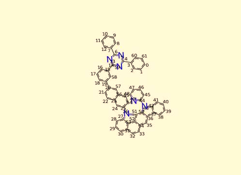 c1ccc(-c2nc(-c3ccccc3)nc(-c3cccc(-c4ccc5cc(-n6c7cccc8ccc9cc%10c%11ccccc%11n(-c%11ccccn%11)c%10c6c9c87)ccc5c4)c3)n2)cc1